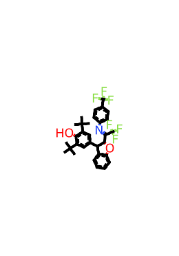 CC(C)(C)c1cc(C2c3ccccc3OC2C(=Nc2ccc(C(F)(F)F)cc2)C(F)(F)F)cc(C(C)(C)C)c1O